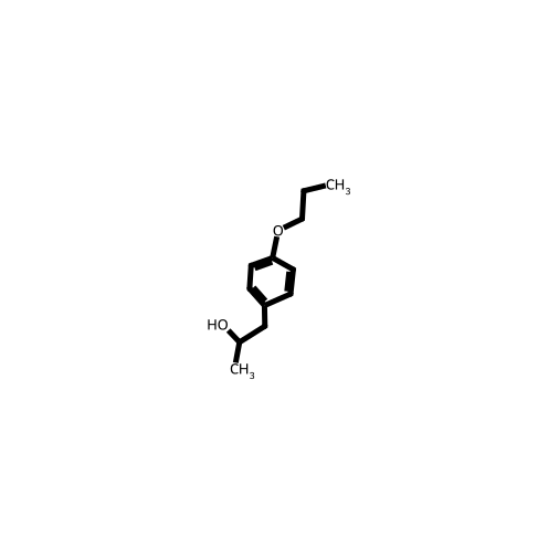 CCCOc1ccc(CC(C)O)cc1